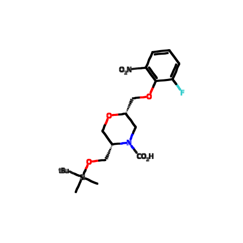 CC(C)(C)[Si](C)(C)OC[C@@H]1CO[C@H](COc2c(F)cccc2[N+](=O)[O-])CN1C(=O)O